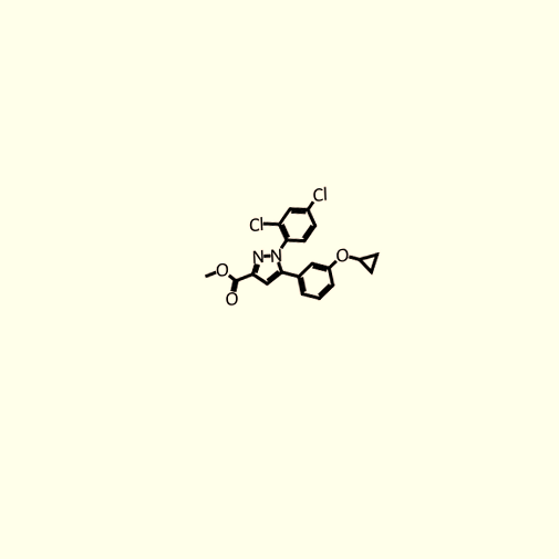 COC(=O)c1cc(-c2cccc(OC3CC3)c2)n(-c2ccc(Cl)cc2Cl)n1